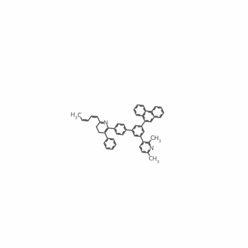 C/C=C\C=C/C1=NC(c2ccc(-c3cc(-c4ccc(C)nc4C)cc(-c4cc5ccccc5c5ccccc45)c3)cc2)=C(c2ccccc2)CC1